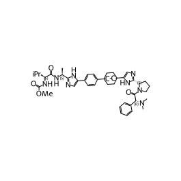 COC(=O)N[C@H](C(=O)N[C@@H](C)c1ncc(-c2ccc(C34CCC(c5cnc([C@@H]6CCCN6C(=O)[C@@H](c6ccccc6)N(C)C)[nH]5)(CC3)CC4)cc2)[nH]1)C(C)C